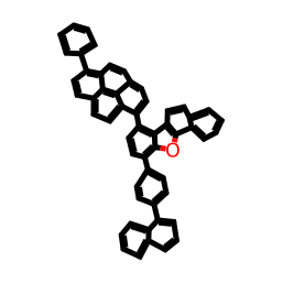 c1ccc(-c2ccc3ccc4c(-c5ccc(-c6ccc(-c7cccc8ccccc78)cc6)c6oc7c8ccccc8ccc7c56)ccc5ccc2c3c54)cc1